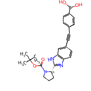 CC(C)(C)OC(=O)N1CCC[C@H]1c1nc2ccc(C#Cc3ccc(B(O)O)cc3)cc2[nH]1